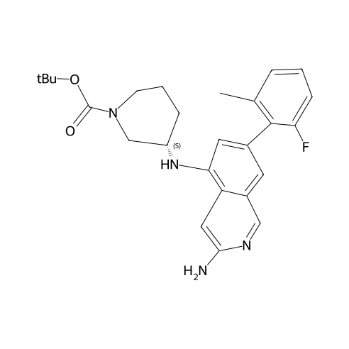 Cc1cccc(F)c1-c1cc(N[C@H]2CCCN(C(=O)OC(C)(C)C)C2)c2cc(N)ncc2c1